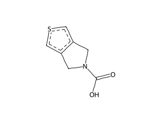 O=C(O)N1Cc2cscc2C1